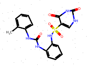 Cc1ccccc1NC(=O)Nc1ccccc1NS(=O)(=O)c1c[nH]c(=O)[nH]c1=O